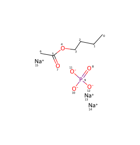 CCCCOC(C)=O.O=P([O-])([O-])[O-].[Na+].[Na+].[Na+]